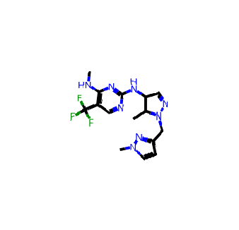 CNc1nc(NC2C=NN(Cc3ccn(C)n3)C2C)ncc1C(F)(F)F